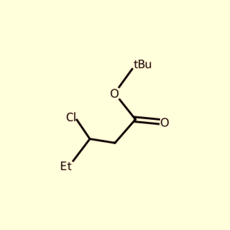 CCC(Cl)CC(=O)OC(C)(C)C